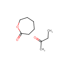 CCC(C)=O.O=C1CCCCCO1